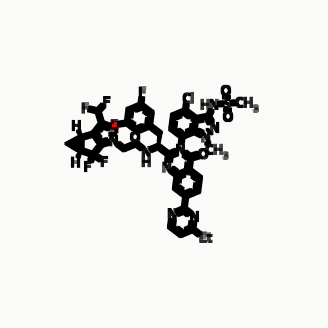 CCc1ccnc(-c2ccc3c(=O)n(-c4ccc(Cl)c5c(NS(C)(=O)=O)nn(C)c45)c([C@H](Cc4cc(F)cc(F)c4)NC(=O)Cn4nc(C(F)F)c5c4C(F)(F)[C@@H]4C[C@H]54)nc3c2)n1